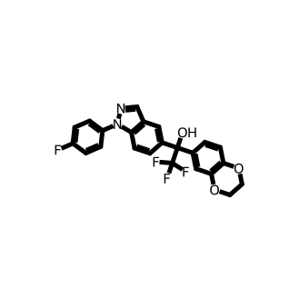 OC(c1ccc2c(c1)OCCO2)(c1ccc2c(cnn2-c2ccc(F)cc2)c1)C(F)(F)F